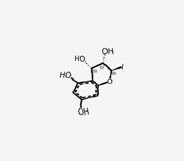 Oc1cc(O)c2c(c1)O[C@H](I)[C@@H](O)[C@H]2O